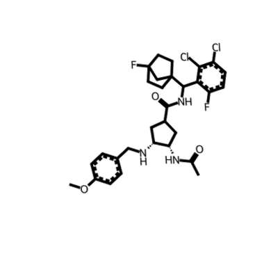 COc1ccc(CN[C@@H]2CC(C(=O)NC(c3c(F)ccc(Cl)c3Cl)C34CCC(F)(CC3)C4)C[C@@H]2NC(C)=O)cc1